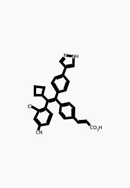 N#Cc1ccc(/C(=C(\c2ccc(/C=C/C(=O)O)cc2)c2ccc(-c3cn[nH]c3)cc2)C2CCC2)c(Cl)c1